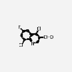 O=Cc1cnc2c(Cl)cc(F)cc2c1Cl